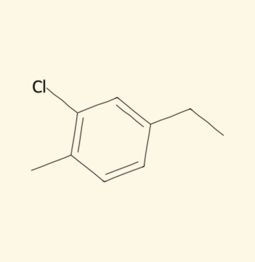 CCc1ccc(C)c(Cl)c1